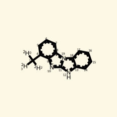 [2H]C([2H])([2H])c1cccc2c1nc1[nH]c3ccccc3n12